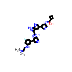 CN(C)CCNc1cc(F)cc(-c2cncc3[nH]c(-c4n[nH]c5ncc(-c6cncc(NC(O)C7CCC7)c6)cc45)nc23)c1